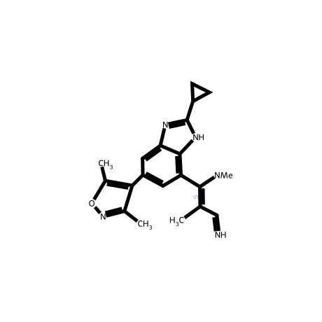 CN/C(=C(/C)C=N)c1cc(-c2c(C)noc2C)cc2nc(C3CC3)[nH]c12